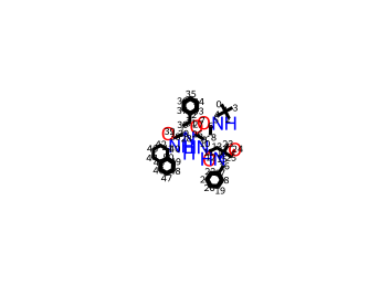 CC(C)(C)CNC(=O)C[C@H](NC(=O)CC1(NCc2ccccc2)COC1)C(=O)N[C@@H](CCc1ccccc1)C(=O)N[C@@H]1CCCc2ccccc21